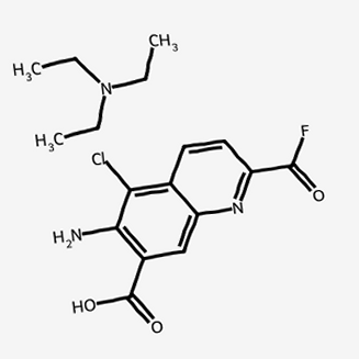 CCN(CC)CC.Nc1c(C(=O)O)cc2nc(C(=O)F)ccc2c1Cl